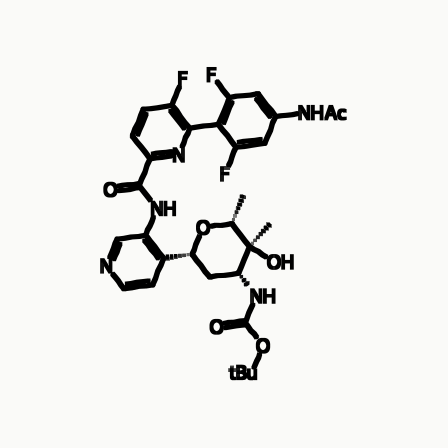 CC(=O)Nc1cc(F)c(-c2nc(C(=O)Nc3cnccc3[C@H]3C[C@@H](NC(=O)OC(C)(C)C)[C@](C)(O)[C@@H](C)O3)ccc2F)c(F)c1